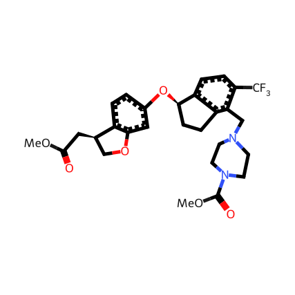 COC(=O)C[C@@H]1COc2cc(O[C@@H]3CCc4c3ccc(C(F)(F)F)c4CN3CCN(C(=O)OC)CC3)ccc21